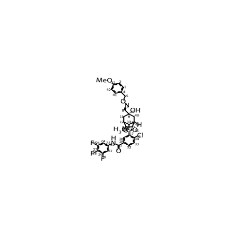 COc1ccc(CO/N=C/[C@]2(O)CC3C(S(=O)(=O)c4cc(C(=O)Nc5cc(F)c(F)c(F)c5)ccc4Cl)[C@@H](C[C@H]3C)C2)cc1